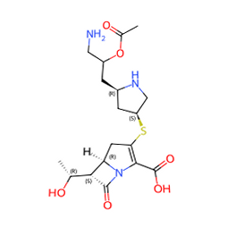 CC(=O)OC(CN)C[C@@H]1C[C@H](SC2=C(C(=O)O)N3C(=O)[C@H]([C@@H](C)O)[C@H]3C2)CN1